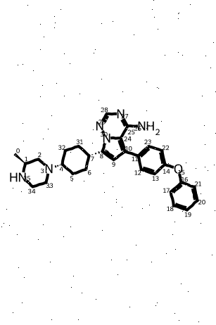 C[C@H]1CN([C@H]2CC[C@@H](c3cc(-c4ccc(Oc5ccccc5)cc4)c4c(N)ncnn43)CC2)CCN1